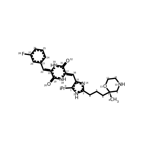 CC(C)c1[nH]c(CCC[C@@]2(C)CNCCO2)nc1/C=c1\[nH]c(=O)/c(=C/c2cccc(F)c2)[nH]c1=O